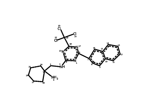 NC1(CNc2nc(-c3ccc4ccccc4c3)nc(C(Cl)(Cl)Cl)n2)CCCCC1